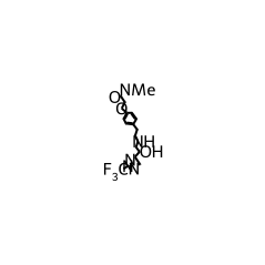 CNC(=O)COc1ccc(CCNCC(O)c2cnn(C(F)(F)F)n2)cc1